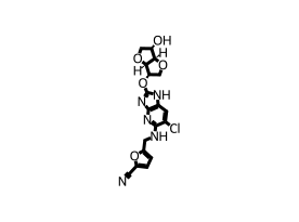 N#Cc1ccc(CNc2nc3nc(O[C@@H]4CO[C@H]5[C@@H]4OC[C@H]5O)[nH]c3cc2Cl)o1